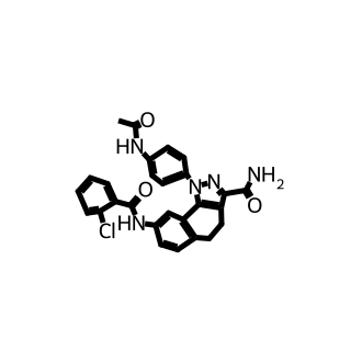 CC(=O)Nc1ccc(-n2nc(C(N)=O)c3c2-c2cc(NC(=O)c4ccccc4Cl)ccc2CC3)cc1